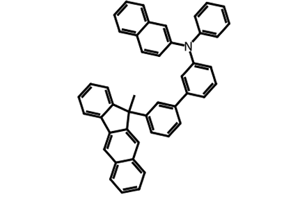 CC1(c2cccc(-c3cccc(N(c4ccccc4)c4ccc5ccccc5c4)c3)c2)c2ccccc2-c2cc3ccccc3cc21